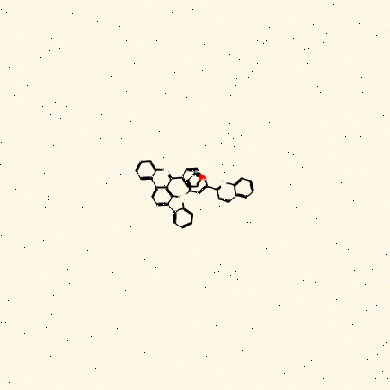 c1ccc(-c2nc3ccccc3c3ccc4c5ccccc5n(-c5cccc(-c6ccc7ccccc7n6)c5)c4c23)cc1